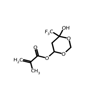 C=C(C)C(=O)OC1CC(O)(C(F)(F)F)OCO1